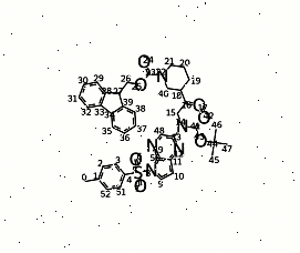 Cc1ccc(S(=O)(=O)n2ccc3nc(N(CC(=O)C4CCCN(C(=O)OCC5c6ccccc6-c6ccccc65)C4)C(=O)OC(C)(C)C)cnc32)cc1